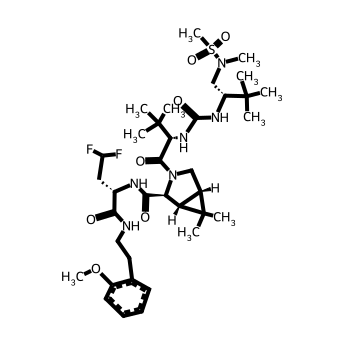 COc1ccccc1CCNC(=O)[C@H](CC(F)F)NC(=O)[C@@H]1[C@@H]2[C@H](CN1C(=O)[C@@H](NC(=O)N[C@H](CN(C)S(C)(=O)=O)C(C)(C)C)C(C)(C)C)C2(C)C